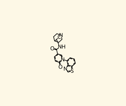 O=C(NC1CN2CCC1CC2)c1ccc(=O)n(-c2cccc3scnc23)c1